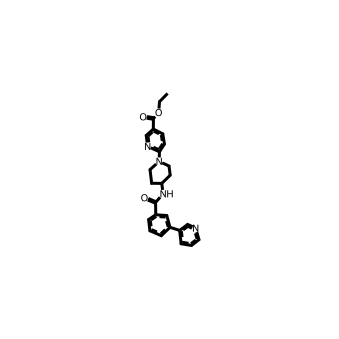 CCOC(=O)c1ccc(N2CCC(NC(=O)c3cccc(-c4cccnc4)c3)CC2)nc1